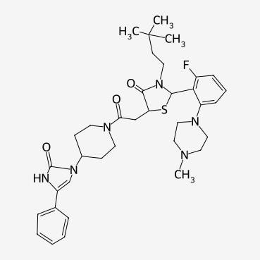 CN1CCN(c2cccc(F)c2C2SC(CC(=O)N3CCC(n4cc(-c5ccccc5)[nH]c4=O)CC3)C(=O)N2CCC(C)(C)C)CC1